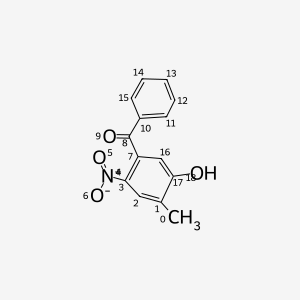 Cc1cc([N+](=O)[O-])c(C(=O)c2ccccc2)cc1O